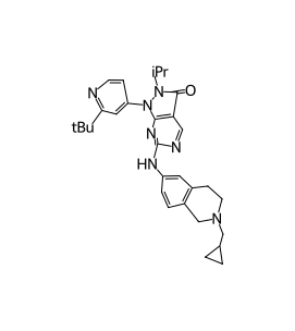 CC(C)n1c(=O)c2cnc(Nc3ccc4c(c3)CCN(CC3CC3)C4)nc2n1-c1ccnc(C(C)(C)C)c1